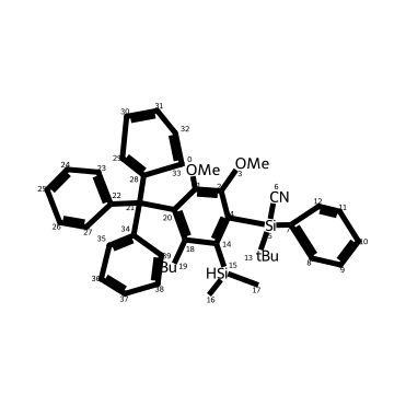 COc1c(OC)c([Si](C#N)(c2ccccc2)C(C)(C)C)c([SiH](C)C)c(C(C)(C)C)c1C(c1ccccc1)(c1ccccc1)c1ccccc1